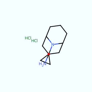 Cl.Cl.NC1CC2CCCC(C1)N2C1CC1